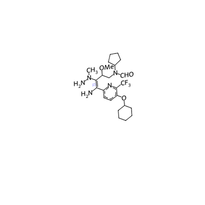 COC(CN(C=O)C1CCCC1)/C(=C(/N)c1ccc(OC2CCCCC2)c(C(F)(F)F)n1)N(C)N